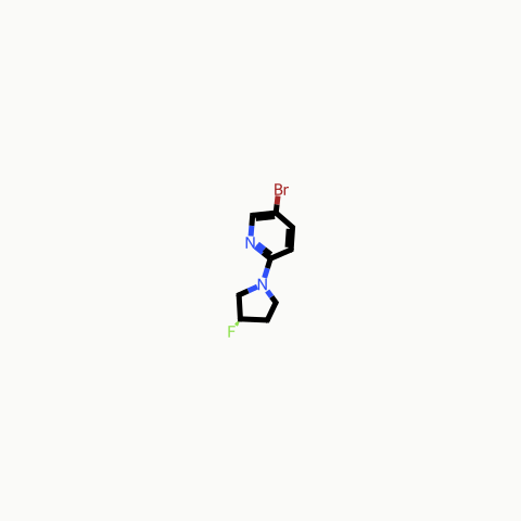 F[C@H]1CCN(c2ccc(Br)cn2)C1